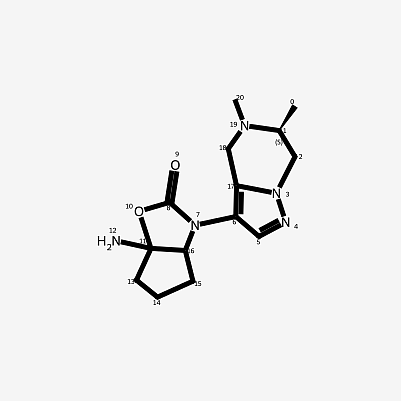 C[C@H]1Cn2ncc(N3C(=O)OC4(N)CCCC34)c2CN1C